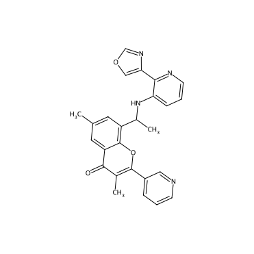 Cc1cc(C(C)Nc2cccnc2-c2cocn2)c2oc(-c3cccnc3)c(C)c(=O)c2c1